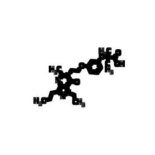 CCCc1nn(CC)c2c(=O)n(CCOc3cccc(OC(C)(C)C(=O)O)c3)c(C)nc12